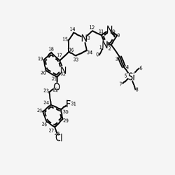 Cn1c(C#C[Si](C)(C)C)cnc1CN1CCC(c2cccc(OCc3ccc(Cl)cc3F)n2)CC1